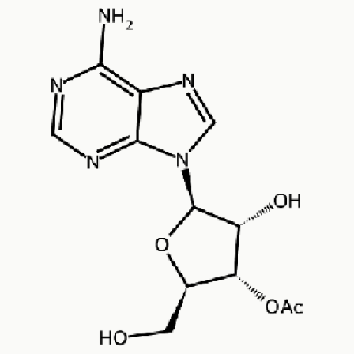 CC(=O)O[C@H]1[C@@H](O)[C@H](n2cnc3c(N)ncnc32)O[C@@H]1CO